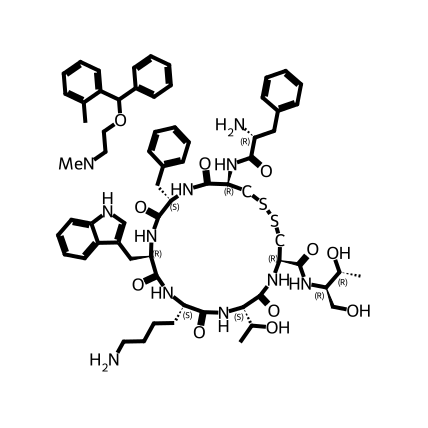 CC(O)[C@@H]1NC(=O)[C@H](CCCCN)NC(=O)[C@@H](Cc2c[nH]c3ccccc23)NC(=O)[C@H](Cc2ccccc2)NC(=O)[C@@H](NC(=O)[C@H](N)Cc2ccccc2)CSSC[C@@H](C(=O)N[C@H](CO)[C@@H](C)O)NC1=O.CNCCOC(c1ccccc1)c1ccccc1C